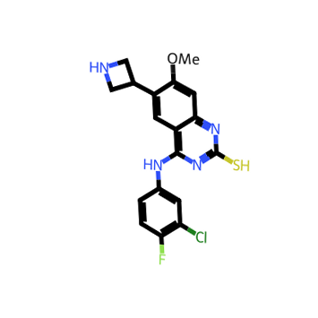 COc1cc2nc(S)nc(Nc3ccc(F)c(Cl)c3)c2cc1C1CNC1